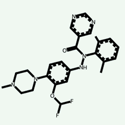 Cc1cccc(C)c1N(Nc1ccc(N2CCN(C)CC2)c(OC(F)F)c1)C(=O)c1cncnc1